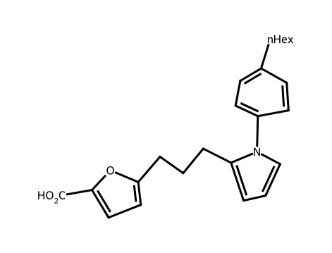 CCCCCCc1ccc(-n2cccc2CCCc2ccc(C(=O)O)o2)cc1